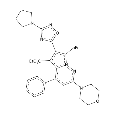 CCCc1c(-c2nc(N3CCCC3)no2)c(C(=O)OCC)c2c(-c3ccccc3)cc(N3CCOCC3)nn12